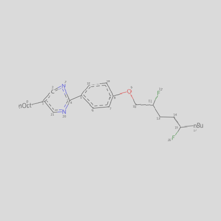 CCCCCCCCc1cnc(-c2ccc(OCC(F)CCC(F)CCCC)cc2)nc1